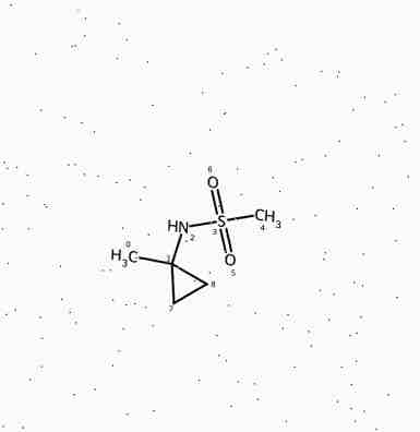 CC1(NS(C)(=O)=O)CC1